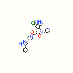 O=C(CC1Cc2cc(Cl)c3[nH]ncc3c2CN(Cc2ccncc2)C1=O)N1CCC(c2cc(-c3ccccc3)[nH]n2)CC1